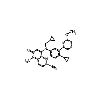 COc1cccc(-c2cc(N(CC3CC3)c3cc(=O)n(C)c4ccc(C#N)nc34)ccc2C2CC2)c1